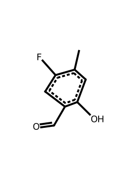 Cc1cc(O)c(C=O)cc1F